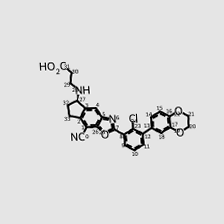 N#Cc1c2c(cc3nc(-c4cccc(-c5ccc6c(c5)OCCO6)c4Cl)oc13)[C@H](NCCC(=O)O)CC2